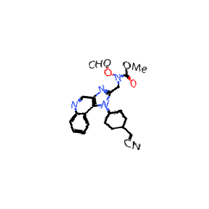 COC(=O)N(Cc1nc2cnc3ccccc3c2n1C1CCC(CC#N)CC1)OC=O